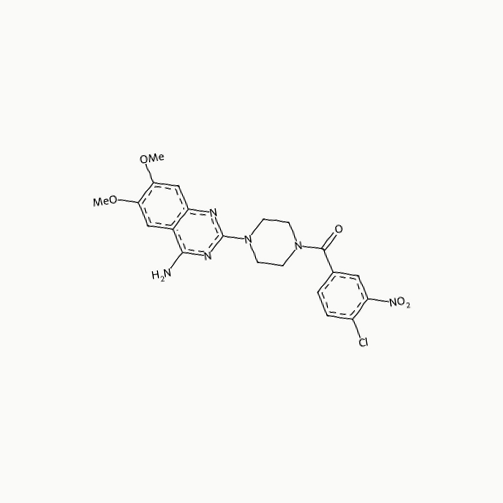 COc1cc2nc(N3CCN(C(=O)c4ccc(Cl)c([N+](=O)[O-])c4)CC3)nc(N)c2cc1OC